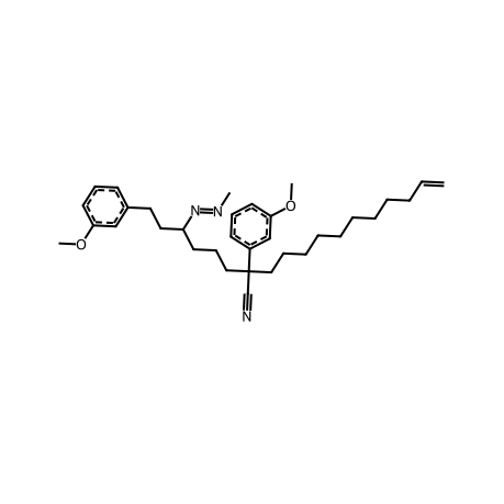 C=CCCCCCCCCCC(C#N)(CCCC(CCc1cccc(OC)c1)N=NC)c1cccc(OC)c1